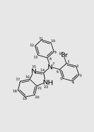 Brc1ccccc1N(c1ccccc1)c1nc2ccccc2[nH]1